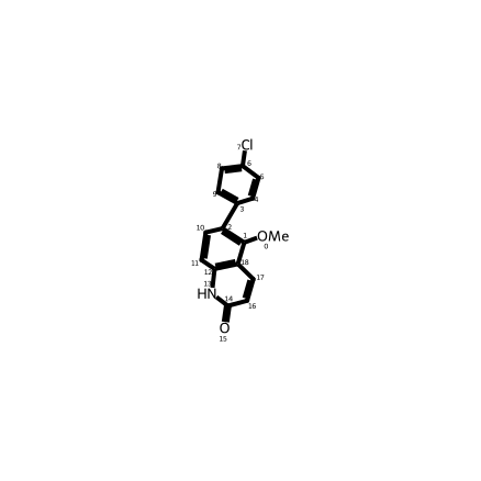 COc1c(-c2ccc(Cl)cc2)ccc2[nH]c(=O)ccc12